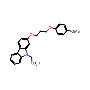 COc1ccc(OCCCOc2ccc3c4ccccc4n(CC(=O)O)c3c2)cc1